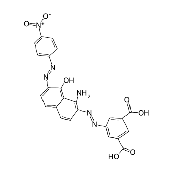 Nc1c(N=Nc2cc(C(=O)O)cc(C(=O)O)c2)ccc2ccc(N=Nc3ccc([N+](=O)[O-])cc3)c(O)c12